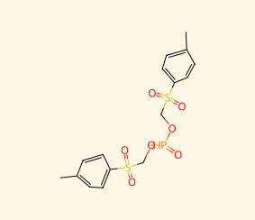 Cc1ccc(S(=O)(=O)CO[PH](=O)OCS(=O)(=O)c2ccc(C)cc2)cc1